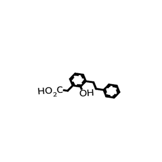 O=C(O)Cc1cccc(CCc2ccccc2)c1O